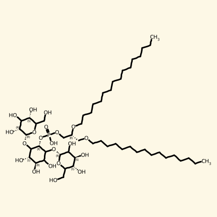 CCCCCCCCCCCCCCCCOC[C@H](COP(=O)(O)O[C@@H]1C(O[C@H]2OC(CO)[C@@H](O)[C@H](O)C2O)C(O)[C@@H](O)[C@H](O)C1O[C@H]1OC(CO)[C@@H](O)C(O)[C@H]1O)OCCCCCCCCCCCCCCCC